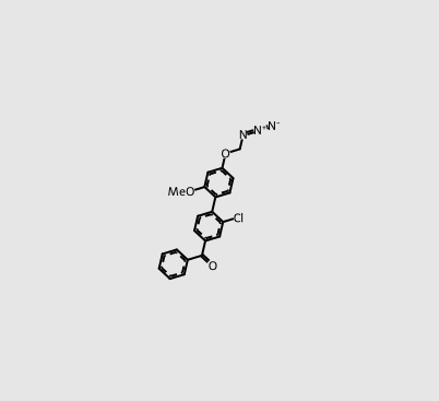 COc1cc(OCN=[N+]=[N-])ccc1-c1ccc(C(=O)c2ccccc2)cc1Cl